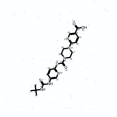 CC(C)(C)NC(=S)Nc1ccc(OC(=O)N2CCN(c3ccc(C(=O)O)cn3)CC2)nc1